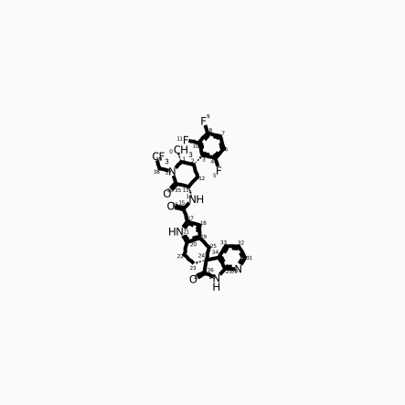 C[C@@H]1[C@H](c2c(F)ccc(F)c2F)C[C@H](NC(=O)c2cc3c([nH]2)CC[C@@]2(C3)C(=O)Nc3ncccc32)C(=O)N1CC(F)(F)F